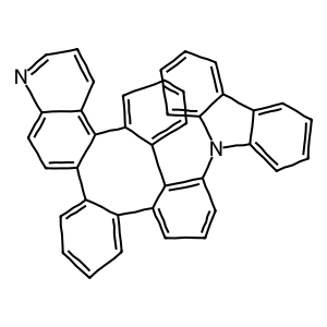 c1ccc2c(c1)-c1cccc(-n3c4ccccc4c4ccccc43)c1-c1ccccc1-c1c-2ccc2ncccc12